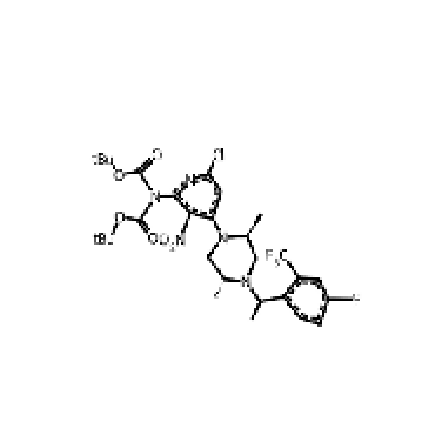 CC(c1ccc(F)cc1C(F)(F)F)N1C[C@H](C)N(c2cc(Cl)nc(N(C(=O)OC(C)(C)C)C(=O)OC(C)(C)C)c2[N+](=O)[O-])C[C@H]1C